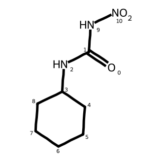 O=C(NC1CCCCC1)N[N+](=O)[O-]